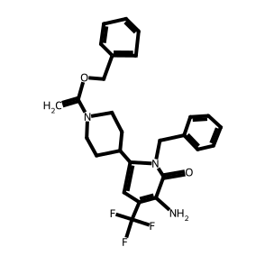 C=C(OCc1ccccc1)N1CCC(c2cc(C(F)(F)F)c(N)c(=O)n2Cc2ccccc2)CC1